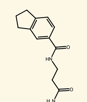 NC(=O)CCNC(=O)c1ccc2c(c1)CCC2